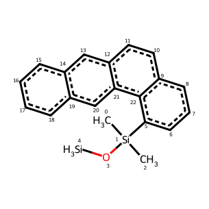 C[Si](C)(O[SiH3])c1cccc2ccc3cc4ccccc4cc3c12